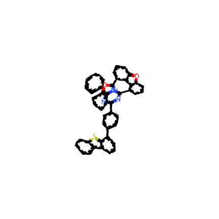 c1ccc(-c2nc(-c3ccc(-c4cccc5c4sc4ccccc45)cc3)nc(-c3cccc4oc5cccc(-c6nc7ccccc7o6)c5c34)n2)cc1